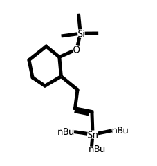 CCC[CH2][Sn](/[CH]=C/CC1CCCCC1O[Si](C)(C)C)([CH2]CCC)[CH2]CCC